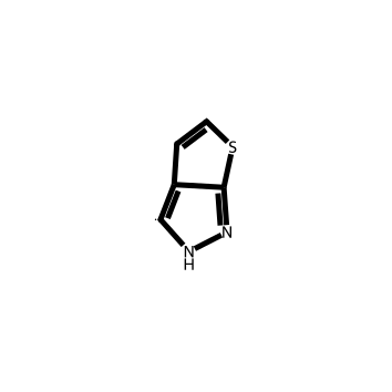 [c]1[nH]nc2sccc12